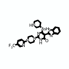 O=c1[nH]c(N2CCN(c3ccc(C(F)(F)F)cn3)CC2)nc([AsH]C2CCCNC2)c1-c1nc2ccccc2s1